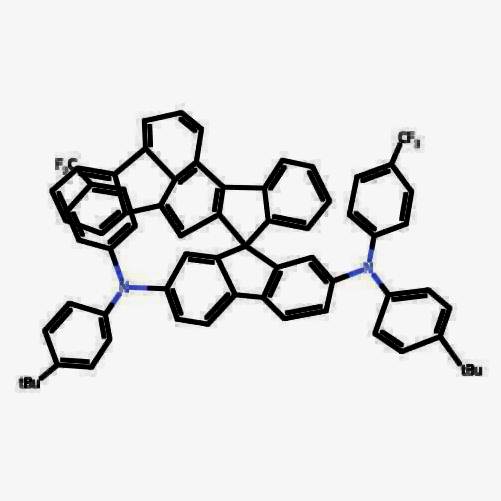 CC(C)(C)c1ccc(N(c2ccc(C(F)(F)F)cc2)c2ccc3c(c2)C2(c4cc(N(c5ccc(C(C)(C)C)cc5)c5ccc(C(F)(F)F)cc5)ccc4-3)c3ccccc3-c3c2cc2c4c(cccc34)-c3ccccc3-2)cc1